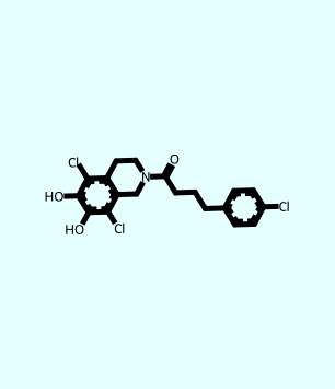 O=C(CCCc1ccc(Cl)cc1)N1CCc2c(Cl)c(O)c(O)c(Cl)c2C1